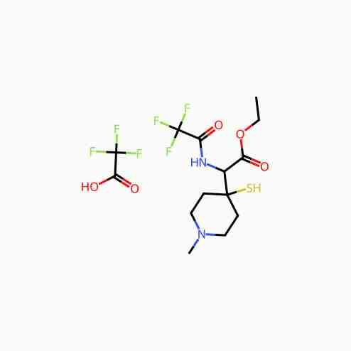 CCOC(=O)C(NC(=O)C(F)(F)F)C1(S)CCN(C)CC1.O=C(O)C(F)(F)F